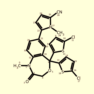 CN1C(=O)COC(c2ccc(Cl)s2)(c2ccc(Cl)s2)c2cc(-c3ccc(C#N)n3C)ccc21